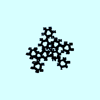 C1=CCC(C2=CCC(S(C3=CC(c4ccccc4)=CCC3)(c3cccc(-c4ccccc4)c3)c3ccc4c(c3)c3ccccc3n4-c3ccccc3)C=N2)C=C1